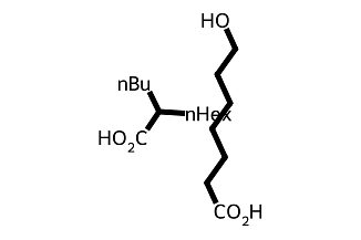 CCCCCCC(CCCC)C(=O)O.O=C(O)CCCCCCO